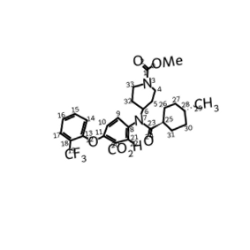 COC(=O)N1CCC(N(c2ccc(Oc3ccccc3C(F)(F)F)cc2C(=O)O)C(=O)[C@H]2CC[C@H](C)CC2)CC1